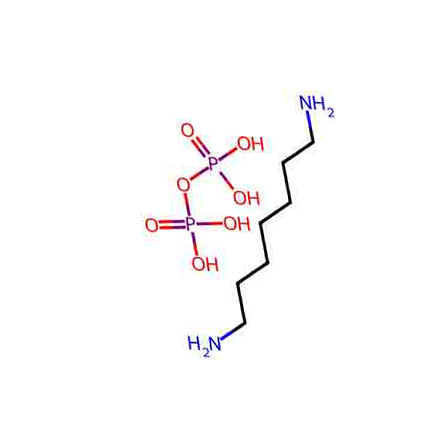 NCCCCCCCN.O=P(O)(O)OP(=O)(O)O